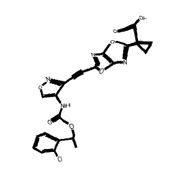 CC(OC(=O)Nc1conc1C#Cc1nc2oc(C3(C(=O)O)CC3)nc2o1)c1ccccc1Cl